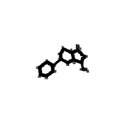 Cc1n[nH]c2ccc(-c3ccccc3)cc12